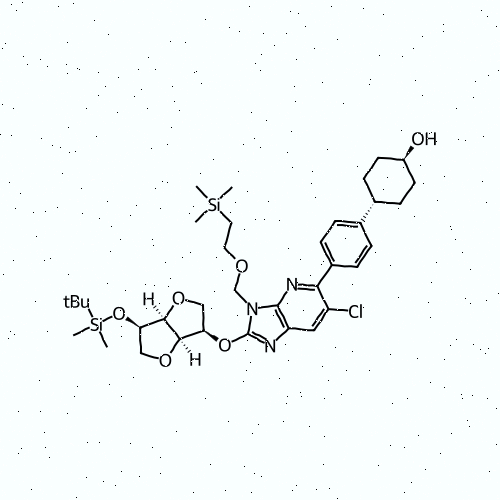 CC(C)(C)[Si](C)(C)O[C@@H]1CO[C@H]2[C@@H]1OC[C@H]2Oc1nc2cc(Cl)c(-c3ccc([C@H]4CC[C@H](O)CC4)cc3)nc2n1COCC[Si](C)(C)C